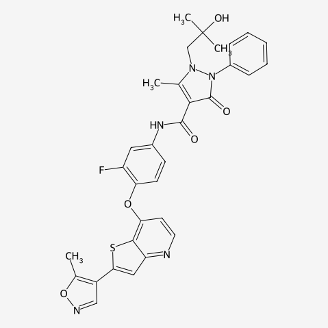 Cc1oncc1-c1cc2nccc(Oc3ccc(NC(=O)c4c(C)n(CC(C)(C)O)n(-c5ccccc5)c4=O)cc3F)c2s1